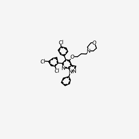 Clc1ccc(-c2c(-c3ccc(Cl)cc3Cl)nc3c(cnn3-c3ccccc3)c2OCCCN2CCOCC2)cc1